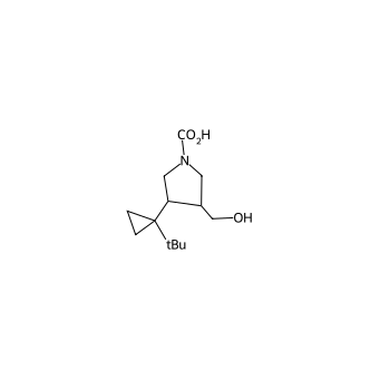 CC(C)(C)C1(C2CN(C(=O)O)CC2CO)CC1